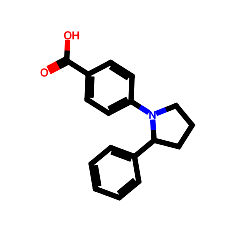 O=C(O)c1ccc(N2CCCC2c2ccccc2)cc1